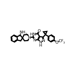 N[C@@H]1c2ccccc2CC12CCN(c1nc3[nH]nc(C4(c5ccc(OC(F)(F)F)cc5)CC4)c3c(=O)[nH]1)CC2